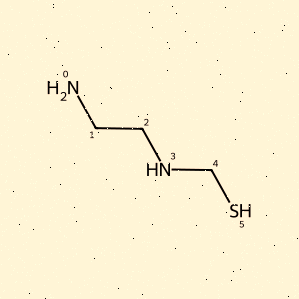 NCCNCS